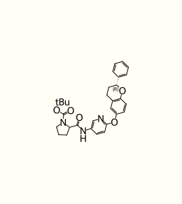 CC(C)(C)OC(=O)N1CCCC1C(=O)Nc1ccc(Oc2ccc3c(c2)CC[C@H](c2ccccc2)O3)nc1